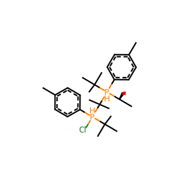 Cc1ccc([PH](Cl)(C(C)(C)C)C(C)(C)[PH](c2ccc(C)cc2)(C(C)(C)C)C(C)(C)C)cc1